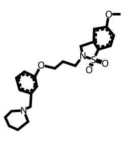 COc1ccc2c(c1)CN(CCCOc1cccc(CN3CCCCC3)c1)S2(=O)=O